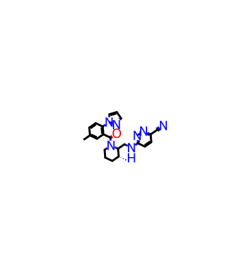 Cc1ccc(-n2cccn2)c(C(=O)N2CCC[C@@H](C)C2CNc2ccc(C#N)nn2)c1